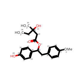 COc1ccc(CC(OC(=O)CC(O)(CC(=O)O)C(=O)O)c2ccc(O)cc2)cc1